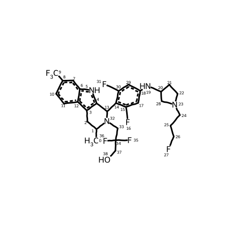 CC1Cc2c([nH]c3cc(C(F)(F)F)ccc23)C(c2c(F)cc(NC3CCN(CCCF)C3)cc2F)N1CC(F)(F)CO